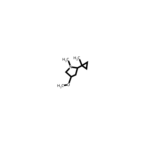 COC1CC(C2(C)CC2)N(C)C1